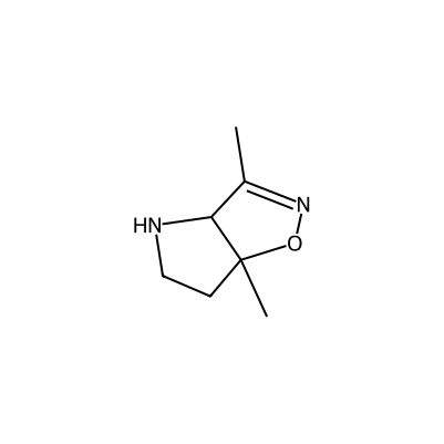 CC1=NOC2(C)CCNC12